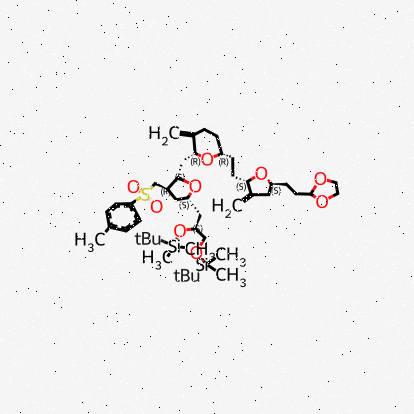 C=C1C[C@H](CCC2OCCO2)O[C@H]1CC[C@H]1CCC(=C)[C@@H](C[C@@H]2O[C@H](C[C@@H](CO[Si](C)(C)C(C)(C)C)O[Si](C)(C)C(C)(C)C)C[C@H]2CS(=O)(=O)c2ccc(C)cc2)O1